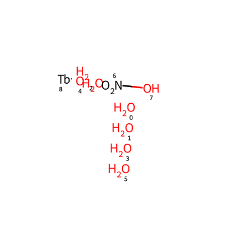 O.O.O.O.O.O.O=[N+]([O-])O.[Tb]